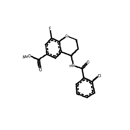 COC(=O)c1cc(F)c2c(c1)C(NC(=O)c1ccccc1Cl)CCO2